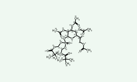 CC(=O)OC[C@H](F)[C@H]1O[C@@H](OP(=O)(OCOC(=O)C(C)(C)C)OCOC(=O)C(C)(C)C)[C@@H](OC(C)=O)[C@@H](OC(C)=O)[C@@H]1OC(C)=O